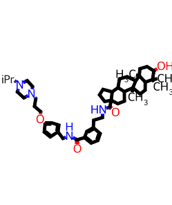 CC(C)N1CCN(CCCOc2ccc(CNC(=O)c3cccc(CCNC(=O)C45CCCC4C4CCC6C(C)(CCC7C(C)(C)C(O)CCC76C)C4CC5)c3)cc2)CC1